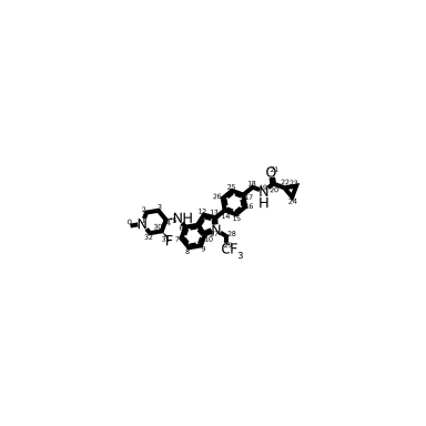 CN1CC[C@H](Nc2cccc3c2cc(-c2ccc(CNC(=O)C4CC4)cc2)n3CC(F)(F)F)[C@H](F)C1